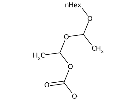 CCCCCCOC(C)OC(C)OC([O])=O